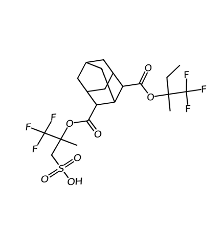 CCC(C)(OC(=O)C1C2CC3CC(C2)C(C(=O)OC(C)(CS(=O)(=O)O)C(F)(F)F)C1C3)C(F)(F)F